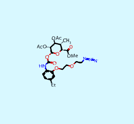 CCc1ccc(NC(=O)O[C@@H]2O[C@H](C(=O)OC)[C@@H](C)[C@H](OC(C)=O)[C@H]2OC(C)=O)c(OCCOCCN=[N+]=[N-])c1